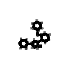 c1ccc(-c2cc(-c3ccccc3Oc3ccccn3)[nH]n2)cc1